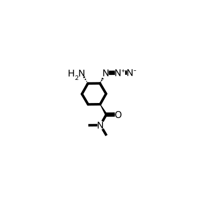 CN(C)C(=O)[C@H]1CC[C@H](N)[C@H](N=[N+]=[N-])C1